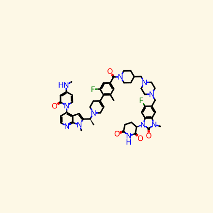 CNc1ccn(-c2ccnc3c2cc([C@H](C)N2CC=C(c4c(C)cc(C(=O)N5CCC(CN6CCN(Cc7cc8c(cc7F)n([C@@H]7CCC(=O)NC7=O)c(=O)n8C)CC6)CC5)cc4F)CC2)n3C)c(=O)c1